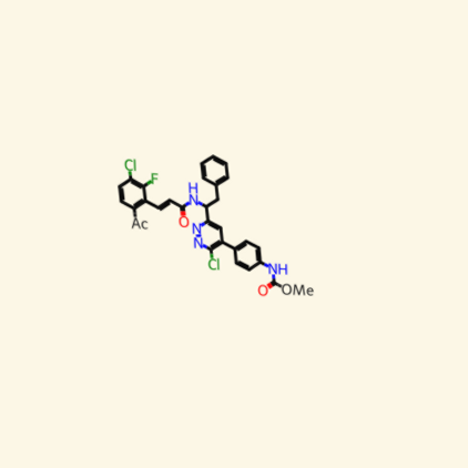 COC(=O)Nc1ccc(-c2cc(C(Cc3ccccc3)NC(=O)C=Cc3c(C(C)=O)ccc(Cl)c3F)nnc2Cl)cc1